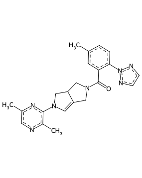 Cc1ccc(-n2nccn2)c(C(=O)N2CC3=CN(c4nc(C)cnc4C)CC3C2)c1